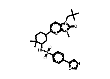 Cn1c(=O)n(CC(C)(C)C)c2ccc(C3CCC(C)(C)C(NS(=O)(=O)c4ccc(-c5cnco5)cc4)C3)nc21